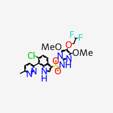 COc1nc(NS(=O)(=O)c2c[nH]c3c(-c4ccc(C)nn4)c(Cl)ccc23)nc(OC)c1OCC(F)F